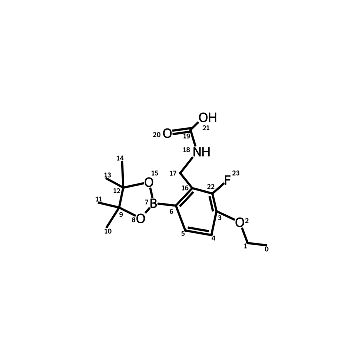 CCOc1ccc(B2OC(C)(C)C(C)(C)O2)c(CNC(=O)O)c1F